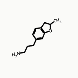 CC1Cc2ccc(CCCN)cc2O1